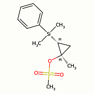 C[C@@]1(OS(C)(=O)=O)C[C@H]1[Si](C)(C)c1ccccc1